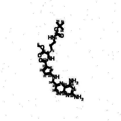 COC(=O)[C@H](CCCNC(=O)OC(C)(C)C)NC(=O)c1ccc(NCc2cnc3nc(N)nc(N)c3n2)s1